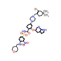 CC1(C)CCC(CN2CCN(c3ccc(C(=O)NS(=O)(=O)c4ccc(NCC5CCOCC5)c([N+](=O)[O-])c4)c(Oc4cnc5[nH]ccc5c4)c3)CC2)=C(Br)C1